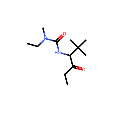 CCC(=O)C(NC(=O)N(C)CC)C(C)(C)C